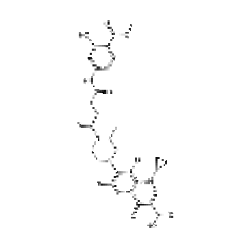 COC(=O)c1ccc(NC(=O)CCC(=O)N2CCN(c3c(F)cc4c(=O)c(C(=O)O)cn(C5CC5)c4c3OC)CC2C)cc1O